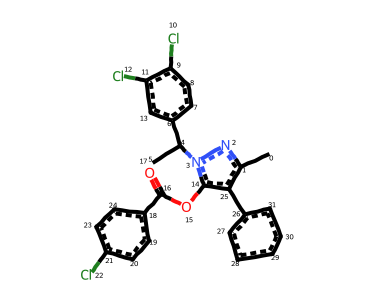 Cc1nn(C(C)c2ccc(Cl)c(Cl)c2)c(OC(=O)c2ccc(Cl)cc2)c1-c1ccccc1